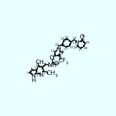 Cc1nc2[nH]ccc2c(C)c1CNC(=O)Oc1cn(Cc2ccc(Cn3ccccc3=O)cc2)nc1C(F)(F)F